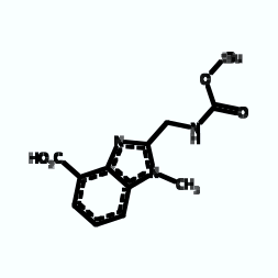 Cn1c(CNC(=O)OC(C)(C)C)nc2c(C(=O)O)cccc21